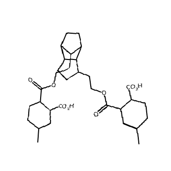 CC1CCC(C(=O)OCCC2C3CCC2C2C(CCOC(=O)C4CC(C)CCC4C(=O)O)CCC32)C(C(=O)O)C1